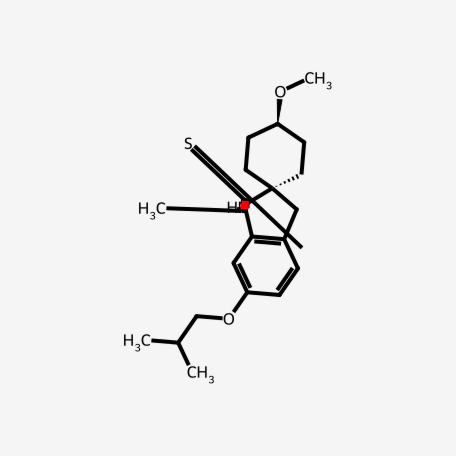 CO[C@H]1CC[C@]2(CC1)Cc1ccc(OCC(C)C)cc1C21N=C(C)C(=S)N1